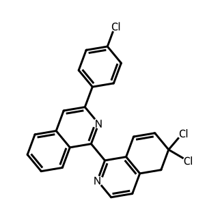 Clc1ccc(-c2cc3ccccc3c(-c3nccc4c3C=CC(Cl)(Cl)C4)n2)cc1